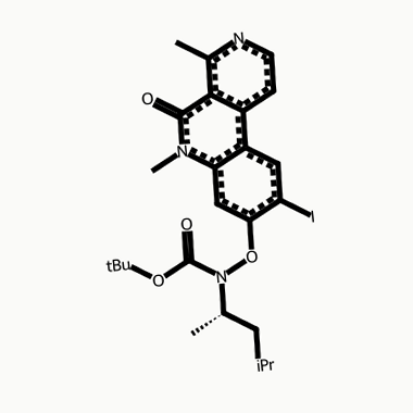 Cc1nccc2c1c(=O)n(C)c1cc(ON(C(=O)OC(C)(C)C)[C@@H](C)CC(C)C)c(I)cc21